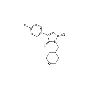 O=C1C=C(c2ccc(F)cc2)C(=O)N1CC1CCOCC1